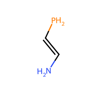 NC=CP